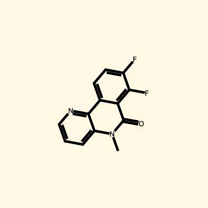 Cn1c(=O)c2c(F)c(F)ccc2c2ncccc21